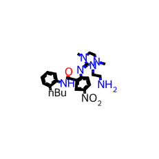 CCCCc1ccccc1NC(=O)c1cc([N+](=O)[O-])ccc1/N=C1/N(C)CCN(C)N1CCN